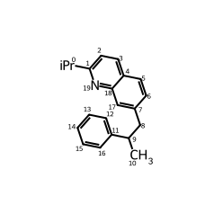 CC(C)c1ccc2ccc(CC(C)c3ccccc3)cc2n1